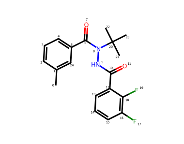 Cc1cccc(C(=O)N(NC(=O)c2cccc(F)c2F)C(C)(C)C)c1